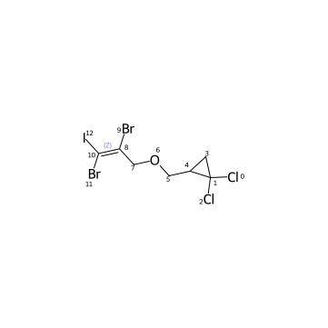 ClC1(Cl)CC1COC/C(Br)=C(\Br)I